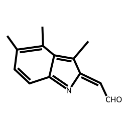 CC1=c2c(C)c(C)ccc2=NC1=CC=O